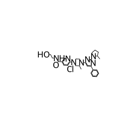 CC1CN(c2ncc(C(=O)NCCO)cc2Cl)CCN1c1cc(-c2ccccc2)nc(N2CCCC2C)n1